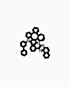 C1#Cc2c3c(c4ccccc4c4cccc5c4c4c3c(ccc4n5-c3cccc(-c4ccccc4)c3)n2-c2nc3ccc4ccccc4c3nc2C2=CC=CCC2)=CC1